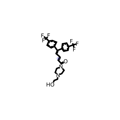 O=C(/C=C/C=C(c1ccc(C(F)(F)F)cc1)c1ccc(C(F)(F)F)cc1)N1CCN(CCO)CC1